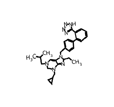 CCC1N=C2C(=CN(CC(C)C)CN2CC2CC2)N1Cc1ccc(-c2ccccc2-c2nnn[nH]2)cc1